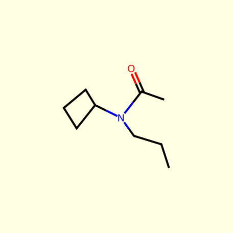 CCCN(C(C)=O)C1CCC1